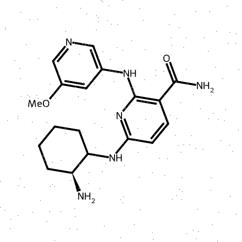 COc1cncc(Nc2nc(NC3CCCC[C@@H]3N)ccc2C(N)=O)c1